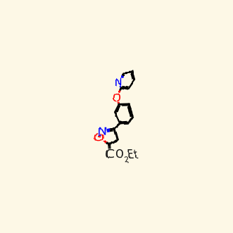 CCOC(=O)C1CC(c2cccc(Oc3ccccn3)c2)=NO1